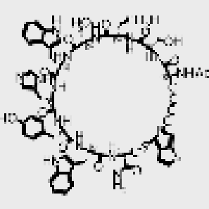 CC(=O)N[C@H]1CCCCn2cc3sccc3c2SC[C@@H](C(N)=O)NC(=O)[C@H](Cc2c[nH]c3ccccc23)NC(=O)[C@H](Cc2ccc(O)cc2)NC(=O)[C@H](Cc2cnc[nH]2)NC(=O)[C@H](Cc2c[nH]c3ccccc23)NC(=O)[C@H](CO)NC(=O)[C@H](CC(=O)O)NC(=O)[C@H](CO)NC1=O